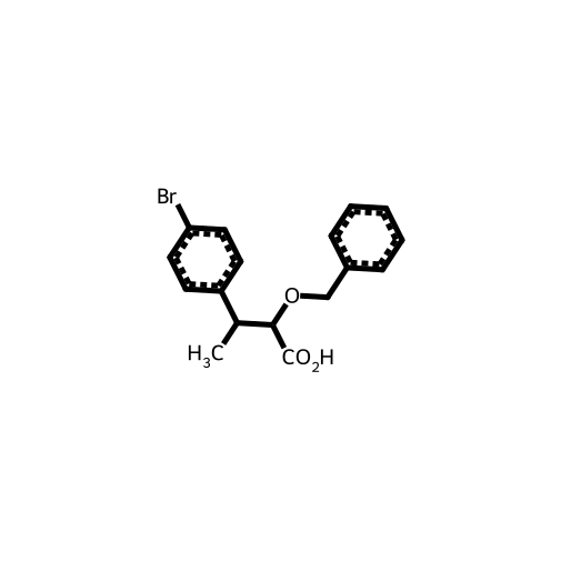 CC(c1ccc(Br)cc1)C(OCc1ccccc1)C(=O)O